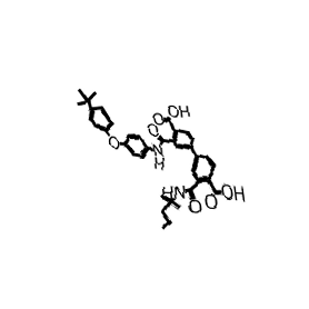 CCCC(C)(C)NC(=O)c1cc(-c2ccc(C(=O)O)c(C(=O)Nc3ccc(Oc4ccc(C(C)(C)C)cc4)cc3)c2)ccc1C(=O)O